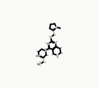 CN1CCC[C@H]1COc1nc2c(c(N3CCN[C@@H](CC#N)C3)n1)COCC2